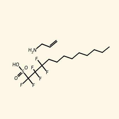 C=CCN.CCCCCCCCCC(F)(F)C(F)(F)C(F)(F)S(=O)(=O)O